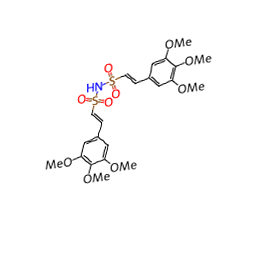 COc1cc(C=CS(=O)(=O)NS(=O)(=O)C=Cc2cc(OC)c(OC)c(OC)c2)cc(OC)c1OC